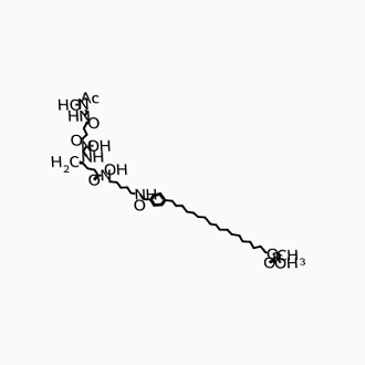 C=C(CCC(=O)N(O)CCCCCNC(=O)c1ccc(CCCCCCCCCCCCCCCCCCOP(C)(=O)O)cc1)NCN(O)C(=O)CCC(=O)NCN(O)C(C)=O